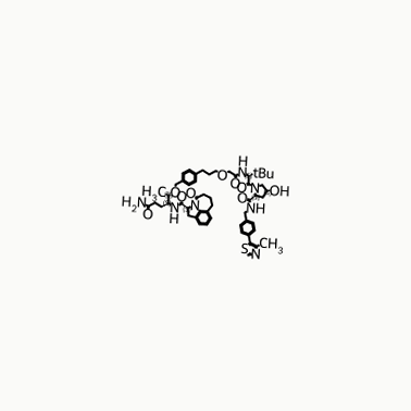 Cc1ncsc1-c1ccc(CNC(=O)[C@@H]2C[C@H](O)CN2C(=O)[C@@H](NC(=O)COCCCc2ccc(CO[C@H](C)[C@H](CCC(N)=O)NC(=O)[C@@H]3Cc4cccc5c4N3C(=O)CCC5)cc2)C(C)(C)C)cc1